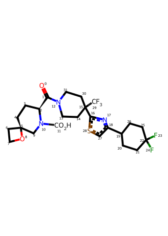 O=C([C@@H]1CC[C@@]2(CCO2)CN1C(=O)O)N1CCC(c2nc(C3CCC(F)(F)CC3)cs2)(C(F)(F)F)CC1